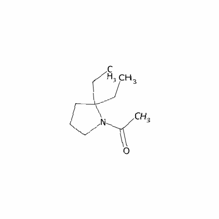 CCC1(CC)CCCN1C(C)=O